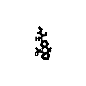 C=C/C(C)=C(\C=C)Nc1ccc2c(c1)N(C(C)=O)c1ccccc1C2(C)C